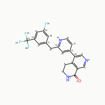 O=C1NCCc2c1cncc2-c1ccnc(Cc2cc(F)cc(C(F)(F)F)c2)c1